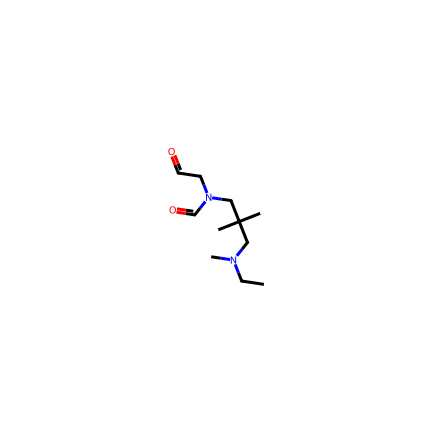 CCN(C)CC(C)(C)CN(C=O)CC=O